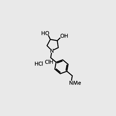 CNCc1ccc(CN2CC(O)C(O)C2)cc1.Cl.Cl